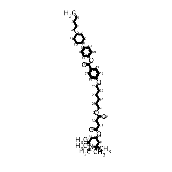 CCCCC[C@H]1CC[C@H](c2ccc(OC(=O)c3ccc(OCCCCCCOC(=O)CCC(=O)OC4CC(C)(C)N(C)C(C)(C)C4)cc3)cc2)CC1